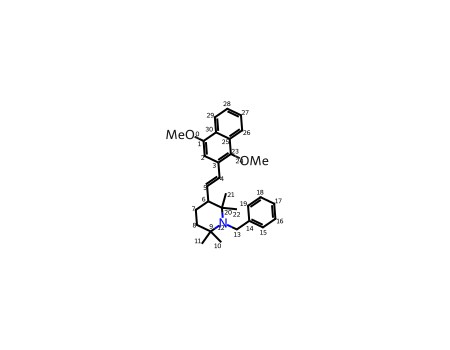 COc1cc(C=CC2CCC(C)(C)N(Cc3ccccc3)C2(C)C)c(OC)c2ccccc12